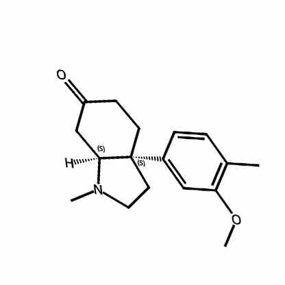 COc1cc([C@@]23CCC(=O)C[C@@H]2N(C)CC3)ccc1C